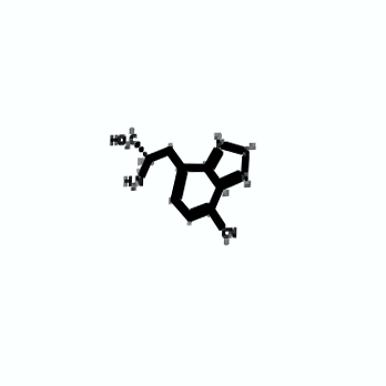 N#Cc1ccc(C[C@H](N)C(=O)O)c2nsnc12